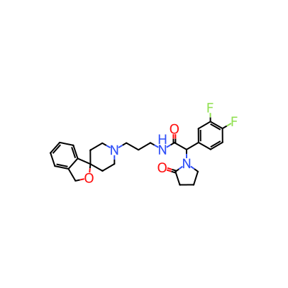 O=C(NCCCN1CCC2(CC1)OCc1ccccc12)C(c1ccc(F)c(F)c1)N1CCCC1=O